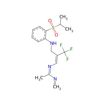 C=N/C(C)=N\C=C(/CNc1ccccc1S(=O)(=O)C(C)C)C(F)(F)F